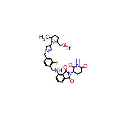 CCOCC1CCC(C)N1C1CN(Cc2ccc(CNc3cccc4c3C(=O)N(C3CCC(=O)NC3=O)C4=O)c(F)c2)C1